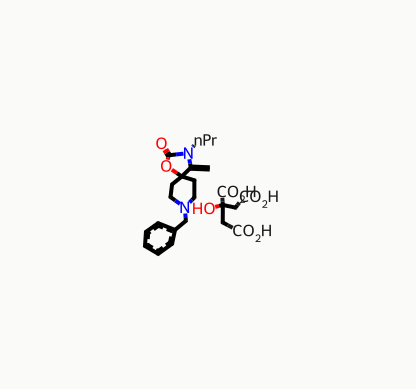 C=C1N(CCC)C(=O)OC12CCN(Cc1ccccc1)CC2.O=C(O)CC(O)(CC(=O)O)C(=O)O